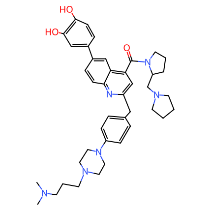 CN(C)CCCN1CCN(c2ccc(Cc3cc(C(=O)N4CCCC4CN4CCCC4)c4cc(-c5ccc(O)c(O)c5)ccc4n3)cc2)CC1